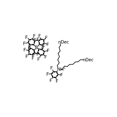 CCCCCCCCCCCCCCCCCC[NH+](CCCCCCCCCCCCCCCCCC)c1c(F)c(F)c(F)c(F)c1F.Fc1c(F)c(F)c([B-](c2c(F)c(F)c(F)c(F)c2F)(c2c(F)c(F)c(F)c(F)c2F)c2c(F)c(F)c(F)c(F)c2F)c(F)c1F